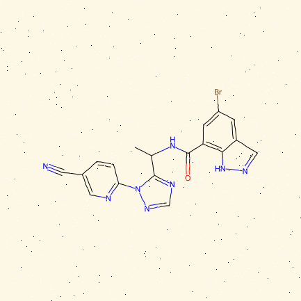 CC(NC(=O)c1cc(Br)cc2cn[nH]c12)c1ncnn1-c1ccc(C#N)cn1